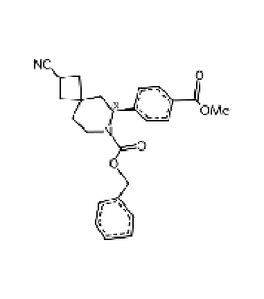 COC(=O)c1ccc([C@@H]2CC3(CCN2C(=O)OCc2ccccc2)CC(C#N)C3)cc1